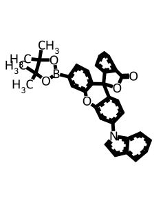 CC1(C)OB(c2ccc3c(c2)Oc2cc(-n4ccc5ccccc54)ccc2C32OC(=O)c3ccccc32)OC1(C)C